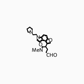 CNC(=O)C(CCC=O)c1coc2ccc3c(ccn3CCN3CCCC3)c12